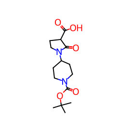 CC(C)(C)OC(=O)N1CCC(N2CCC(C(=O)O)C2=O)CC1